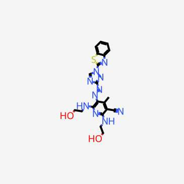 Cc1c(C#N)c(NCCO)nc(NCCO)c1/N=N/c1ncn(-c2nc3ccccc3s2)n1